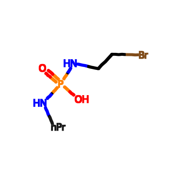 CCCNP(=O)(O)NCCBr